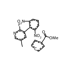 COC(=O)c1ccccc1.Cc1cnc(F)c(-c2c([N+](=O)[O-])cccc2[N+](=O)[O-])c1